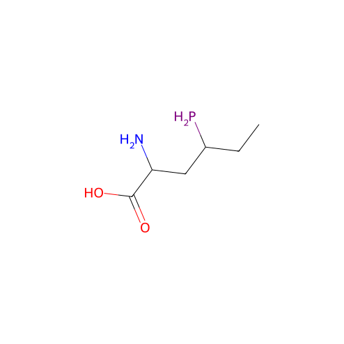 CCC(P)CC(N)C(=O)O